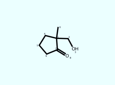 CC1(CO)CCCC1=O